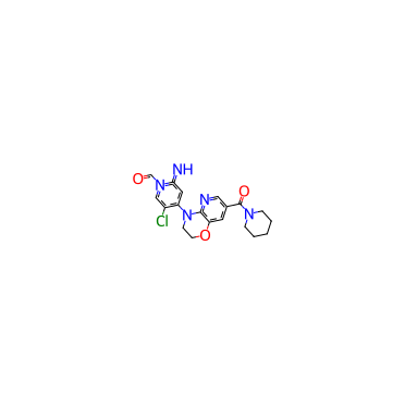 N=c1cc(N2CCOc3cc(C(=O)N4CCCCC4)cnc32)c(Cl)cn1C=O